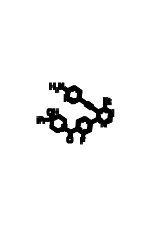 CCc1ncnc(-c2ccc(C(=O)N3CCC(O)(C(C)C)CC3)c(F)c2)c1C#Cc1ccc(N)nc1